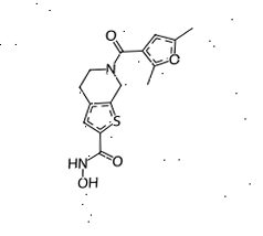 Cc1cc(C(=O)N2CCc3cc(C(=O)NO)sc3C2)c(C)o1